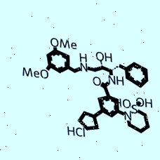 COc1cc(CNC[C@H](O)[C@H](Cc2ccccc2)NC(=O)c2cc(C3CCCC3)cc(N3CCCCS3(O)O)c2)cc(OC)c1.Cl